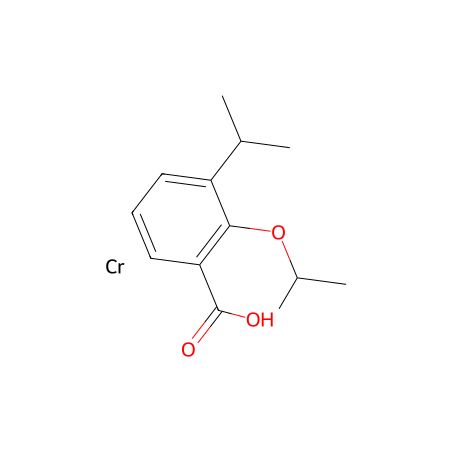 CC(C)Oc1c(C(=O)O)cccc1C(C)C.[Cr]